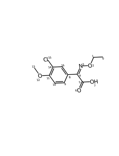 CCON=C(C(=O)O)c1ccc(OC)c(Cl)c1